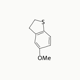 COc1ccc2c(c1)CCS2